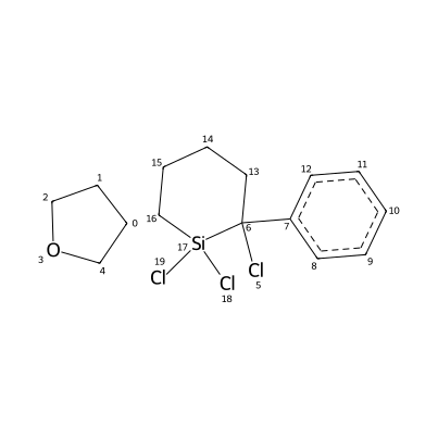 C1CCOC1.ClC1(c2ccccc2)CCCC[Si]1(Cl)Cl